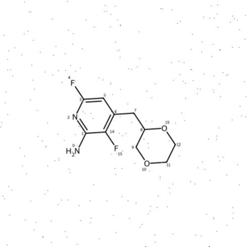 Nc1nc(F)cc(CC2COCCO2)c1F